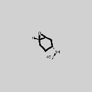 O=C(O)N[C@@H]1CC[C@@H]2OC2C1